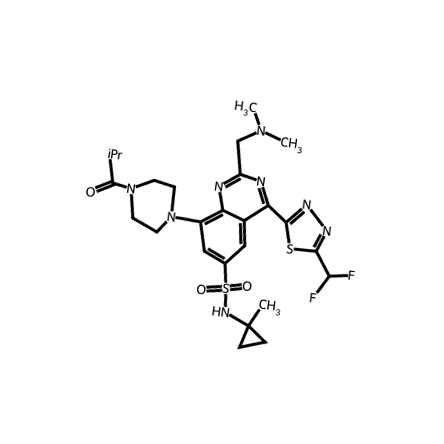 CC(C)C(=O)N1CCN(c2cc(S(=O)(=O)NC3(C)CC3)cc3c(-c4nnc(C(F)F)s4)nc(CN(C)C)nc23)CC1